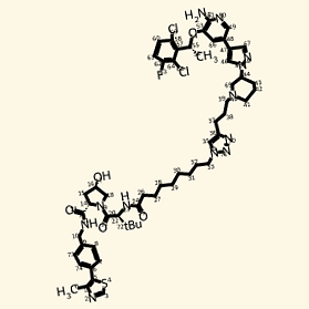 Cc1ncsc1-c1ccc(CNC(=O)[C@@H]2C[C@@H](O)CN2C(=O)[C@@H](NC(=O)CCCCCCCCn2cc(CCCN3CCCC(n4cc(-c5cnc(N)c(O[C@H](C)c6c(Cl)ccc(F)c6Cl)c5)cn4)C3)nn2)C(C)(C)C)cc1